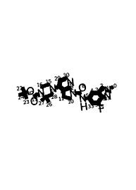 Cn1cc2cc(NC(=O)N3CCc4c(N5CCN(C(=O)OC(C)(C)C)C(C)(C)C5)ccnc43)cc(F)c2n1